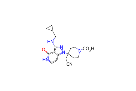 N#CCC1(n2nc(NCC3CC3)c3c(=O)[nH]ccc32)CCN(C(=O)O)CC1